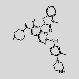 C=C(c1cc2cnc(Nc3ccc(N4CCNCC4)c(C)c3)nc2n(C2Cc3ccccc3N(C)C2=O)c1=O)C1CCOCC1